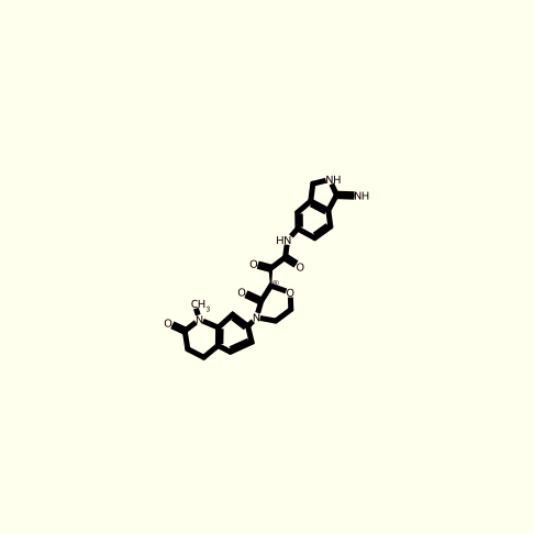 CN1C(=O)CCc2ccc(N3CCO[C@H](C(=O)C(=O)Nc4ccc5c(c4)CNC5=N)C3=O)cc21